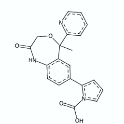 CC1(c2ccccn2)OCC(=O)Nc2ccc(-c3cccn3C(=O)O)cc21